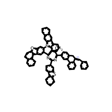 C=C1C=C(c2cc3c(cc2-n2c4ccccc4c4cc5ccccc5cc42)oc2ccc4ccccc4c23)N=C(c2ccc3c(c2)sc2ccccc23)N=C1c1ccc2c(c1)-c1ccccc1/C(=C\c1ccccc1)C2